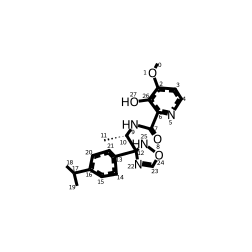 COc1ccnc(C(=O)N[C@@H](C)C2(c3ccc(C(C)C)cc3)N=CON2)c1O